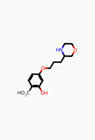 O=C(O)c1ccc(OCCCC2COCCN2)cc1O